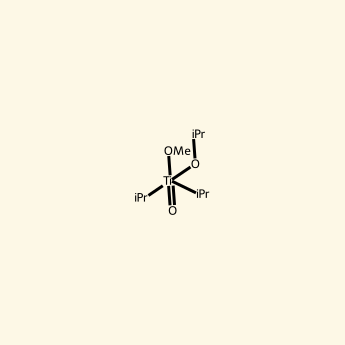 C[O][Ti](=[O])([O]C(C)C)([CH](C)C)[CH](C)C